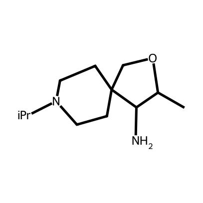 CC1OCC2(CCN(C(C)C)CC2)C1N